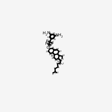 CC(C)CCC[C@@H](C)[C@H]1CCC2C3CC=C4CC(OC(F)(F)C(F)(F)c5cc(N)cc(N)c5)CC[C@]4(C)C3CC[C@@]21C